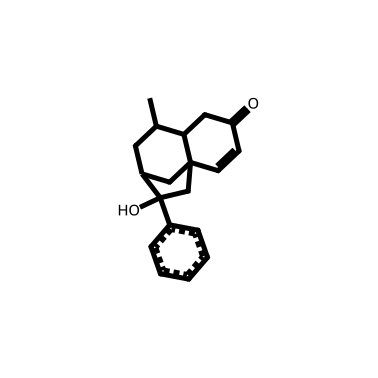 CC1CC2CC3(C=CC(=O)CC13)CC2(O)c1ccccc1